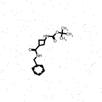 CC(C)(C)OC(=O)NC1CC(C(=O)NCc2ccccc2)C1